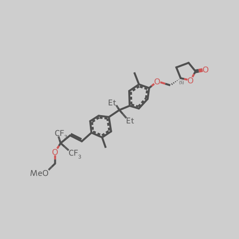 CCC(CC)(c1ccc(C=CC(OCOC)(C(F)(F)F)C(F)(F)F)c(C)c1)c1ccc(OC[C@@H]2CCC(=O)O2)c(C)c1